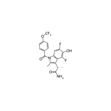 Cc1c([C@H](C)C(N)=O)c2c(F)c(O)c(F)cc2n1C(=O)c1ccc(OC(F)(F)F)cc1